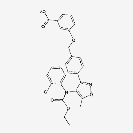 CCOC(=O)N(c1ccccc1Cl)c1c(-c2ccc(COc3cccc(C(=O)O)c3)cc2)noc1C